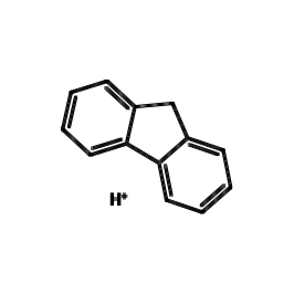 [H+].c1ccc2c(c1)Cc1ccccc1-2